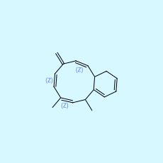 C=C1/C=C\C(C)=C/C(C)C2=CC=CCC2/C=C\1